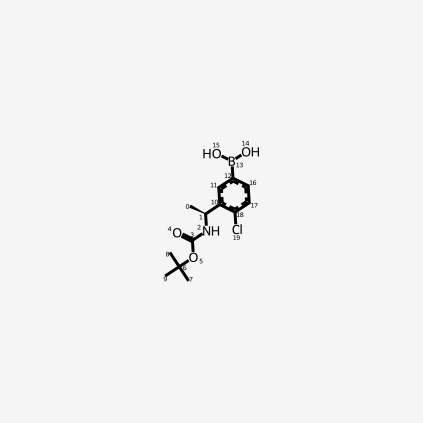 C[C@H](NC(=O)OC(C)(C)C)c1cc(B(O)O)ccc1Cl